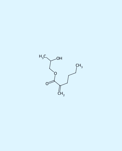 C=C(CCCC)C(=O)OCC(C)O